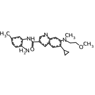 COCCN(C)c1cc2ncc(C(=O)Nc3cc(C)ccc3N)cc2cc1C1CC1